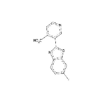 O=C(O)c1ccncc1-c1nc2ccc(F)cc2o1